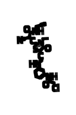 C#CCNC(=O)C(=C=c1sc(=C=CNc2cccc(NC(=O)CCl)c2)c(=O)n1CC)C#N